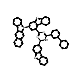 c1ccc(-c2cccc(C3=NC(c4cc(-n5c6ccccc6c6cc7ccccc7cc65)cc5oc6ccccc6c45)=NC(c4ccc5oc6ccccc6c5c4)N3)c2)cc1